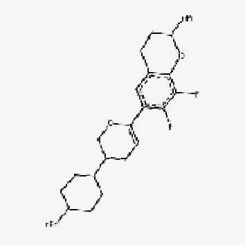 CCCC1CCC(C2CC=C(c3cc4c(c(F)c3F)OC(CCC)CC4)OC2)CC1